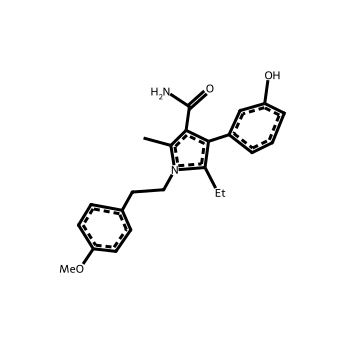 CCc1c(-c2cccc(O)c2)c(C(N)=O)c(C)n1CCc1ccc(OC)cc1